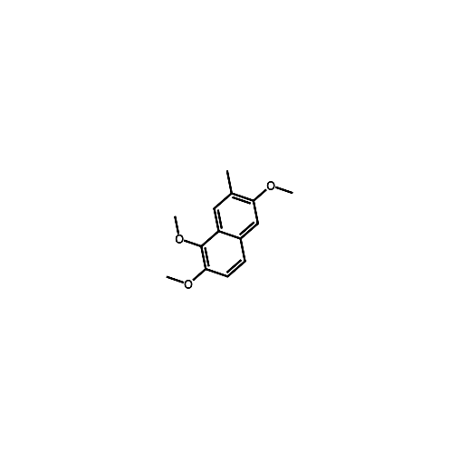 COc1cc2ccc(OC)c(OC)c2cc1C